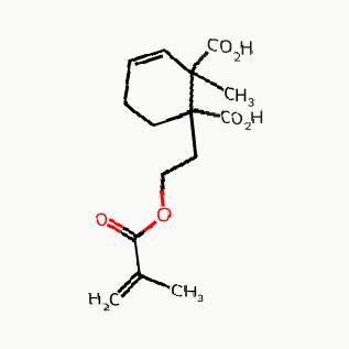 C=C(C)C(=O)OCCC1(C(=O)O)CCC=CC1(C)C(=O)O